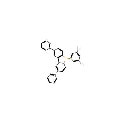 Brc1cc(Br)cc(P2c3ccc(-c4ccccc4)cc3C3C=C(c4ccccc4)C=CC32)c1